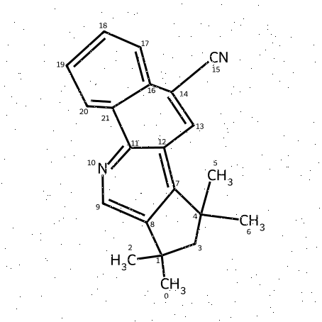 CC1(C)CC(C)(C)c2c1cnc1c2cc(C#N)c2ccccc21